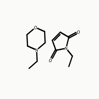 CCN1C(=O)C=CC1=O.CCN1CCOCC1